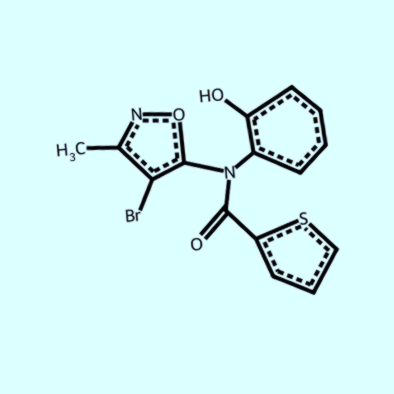 Cc1noc(N(C(=O)c2cccs2)c2ccccc2O)c1Br